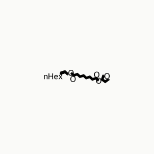 CCCCCC/C=C\COC(=O)CCCCCCC(=O)O[C@@H]1CCOC1